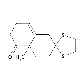 CC12CCC3(CC1=CCCC2=O)SCCS3